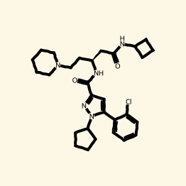 O=C(C[C@H](CCN1CCCCC1)NC(=O)c1cc(-c2ccccc2Cl)n(C2CCCC2)n1)NC1CCC1